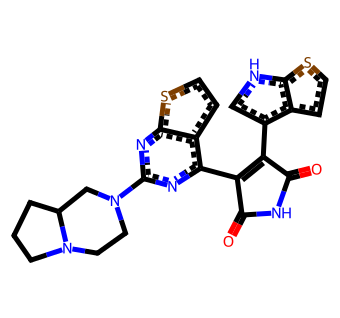 O=C1NC(=O)C(c2c[nH]c3sccc23)=C1c1nc(N2CCN3CCCC3C2)nc2sccc12